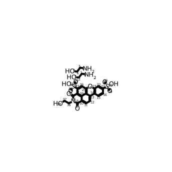 NCCO.NCCO.O=c1c2ccc3c4ccc(S(=O)(=O)O)cc4oc4cc(S(=O)(=O)O)c(c(=O)n1CCO)c2c43